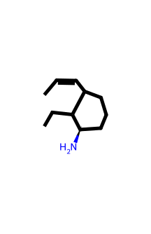 C/C=C\C1CCC[C@@H](N)C1CC